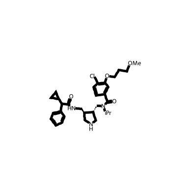 COCCCOc1cc(C(=O)N(C[C@@H]2CNC[C@H]2CNC(=O)C(c2ccccc2)C2CC2)C(C)C)ccc1Cl